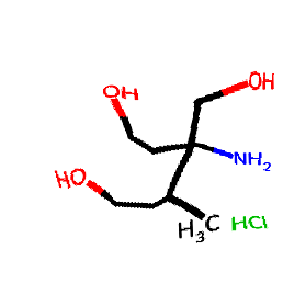 CC(CO)C(N)(CO)CO.Cl